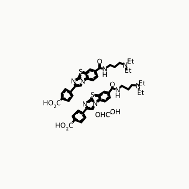 CCN(CC)CCCNC(=O)c1ccc2c(c1)sc1nc(-c3ccc(C(=O)O)cc3)cn12.CCN(CC)CCCNC(=O)c1ccc2c(c1)sc1nc(-c3ccc(C(=O)O)cc3)cn12.O=CO